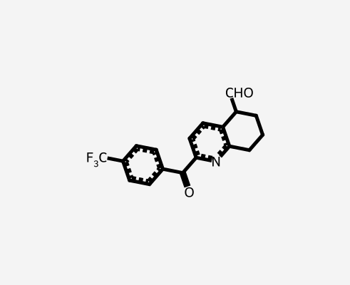 O=CC1CCCc2nc(C(=O)c3ccc(C(F)(F)F)cc3)ccc21